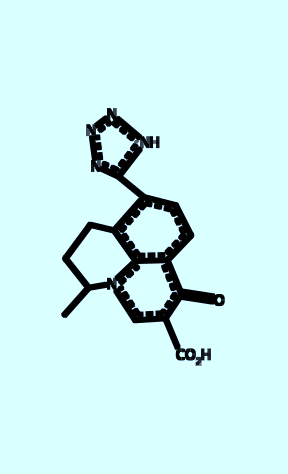 CC1CCc2c(-c3nnn[nH]3)ccc3c(=O)c(C(=O)O)cn1c23